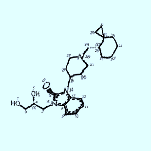 O=c1n(C[C@H](O)CO)c2ccccc2n1C1CCN(C[C@H]2CCCCC23CC3)CC1